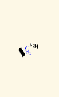 C=C.N.[NaH]